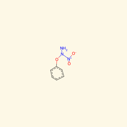 NN(Oc1ccccc1)[N+](=O)[O-]